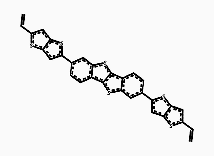 C=Cc1cc2sc(-c3ccc4c(c3)sc3c5ccc(-c6cc7sc(C=C)cc7s6)cc5sc43)cc2s1